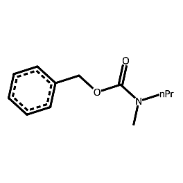 [CH2]CCN(C)C(=O)OCc1ccccc1